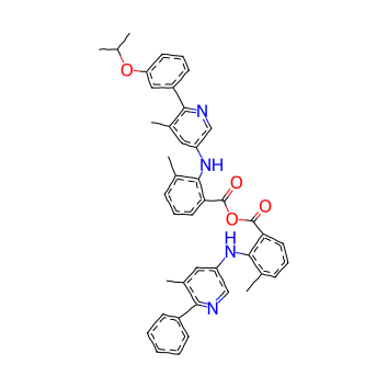 Cc1cc(Nc2c(C)cccc2C(=O)OC(=O)c2cccc(C)c2Nc2cnc(-c3cccc(OC(C)C)c3)c(C)c2)cnc1-c1ccccc1